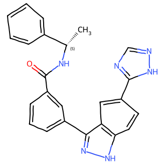 C[C@H](NC(=O)c1cccc(-c2n[nH]c3ccc(-c4ncn[nH]4)cc23)c1)c1ccccc1